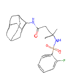 CC(C)(CC(=O)NC1C2CC3CC(C2)CC1C3)NS(=O)(=O)c1ccccc1F